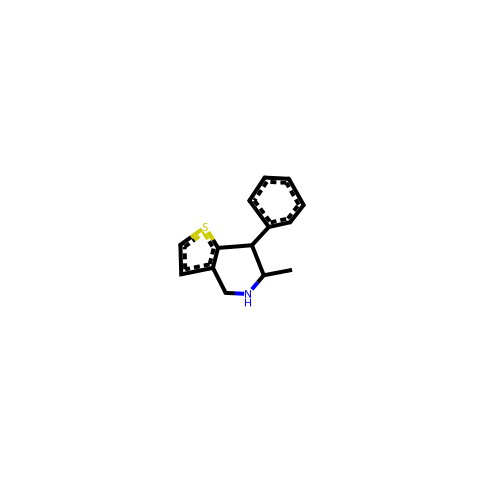 CC1NCc2ccsc2C1c1ccccc1